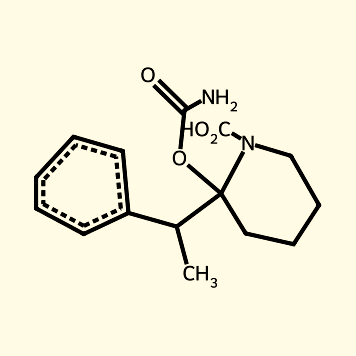 CC(c1ccccc1)C1(OC(N)=O)CCCCN1C(=O)O